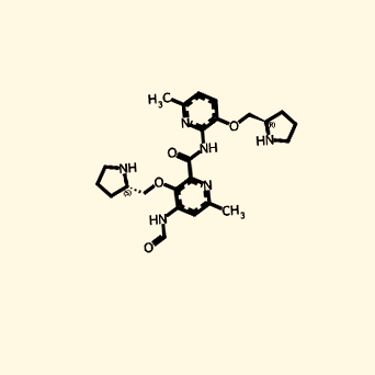 Cc1ccc(OC[C@H]2CCCN2)c(NC(=O)c2nc(C)cc(NC=O)c2OC[C@@H]2CCCN2)n1